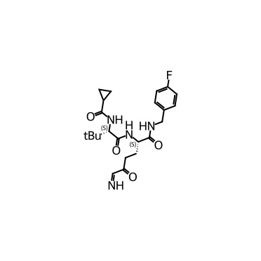 CC(C)(C)[C@H](NC(=O)C1CC1)C(=O)N[C@@H](CCC(=O)C=N)C(=O)NCc1ccc(F)cc1